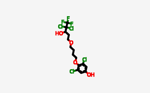 Oc1cc(Cl)c(OCCCCOCCC(O)C(Cl)(Cl)C(F)(F)F)c(Cl)c1